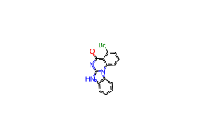 O=c1nc2[nH]c3ccccc3n2c2cccc(Br)c12